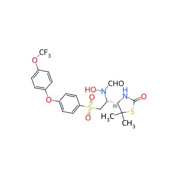 CC1(C)SC(=O)N[C@H]1C(CS(=O)(=O)c1ccc(Oc2ccc(OC(F)(F)F)cc2)cc1)N(O)C=O